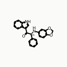 O=C(c1c[nH]c2ccccc12)[C@@H](Nc1ccc2c(c1)OCO2)c1ccccc1